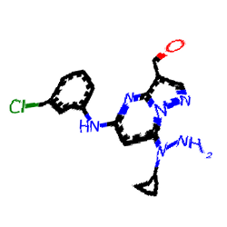 NN(c1cc(Nc2cccc(Cl)c2)nc2c(C=O)cnn12)C1CC1